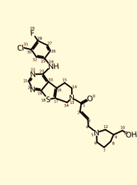 O=C(C=CCN1CCCC(CO)C1)N1CCc2c(sc3ncnc(Nc4ccc(F)c(Cl)c4)c23)C1